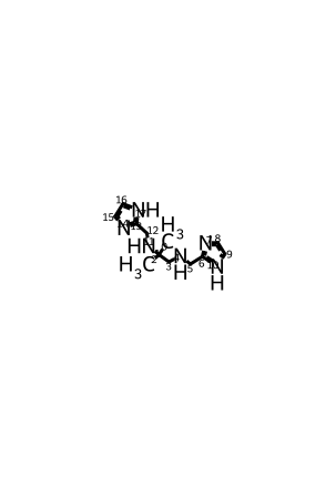 CC(C)(CNCc1ncc[nH]1)NCc1ncc[nH]1